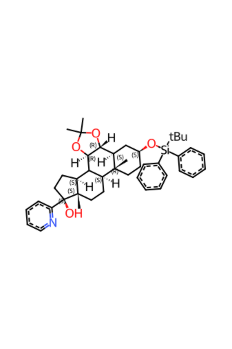 CC1(C)O[C@H]2[C@H](O1)C1[C@H](CC[C@@]3(C)[C@H]1CC[C@@]3(O)c1ccccn1)[C@@]1(C)CC[C@H](O[Si](c3ccccc3)(c3ccccc3)C(C)(C)C)C[C@H]21